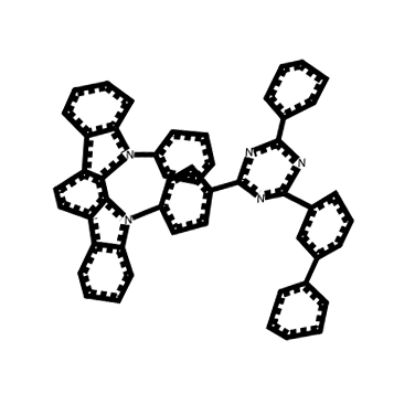 c1ccc(-c2cccc(-c3nc(-c4ccccc4)nc(-c4ccc(-n5c6ccccc6c6ccc7c8ccccc8n(-c8ccccc8)c7c65)cc4)n3)c2)cc1